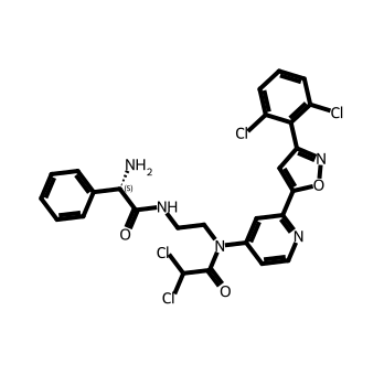 N[C@H](C(=O)NCCN(C(=O)C(Cl)Cl)c1ccnc(-c2cc(-c3c(Cl)cccc3Cl)no2)c1)c1ccccc1